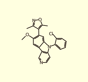 COc1cc2c3cnccc3n(-c3ccccc3Cl)c2cc1-c1c(C)noc1C